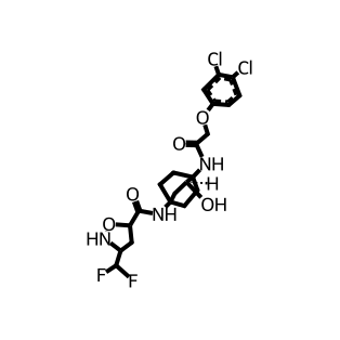 O=C(COc1ccc(Cl)c(Cl)c1)NC12CCC(NC(=O)C3CC(C(F)F)NO3)(CC1)C[C@@H]2O